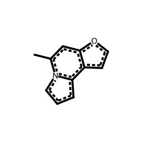 Cc1cc2occc2c2cccn12